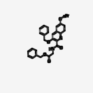 CCCOc1ccc2nc(C(=O)NCC(=O)OCc3ccccc3)c(OCc3ccccc3)cc2c1